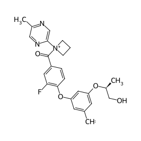 [CH]c1cc(Oc2ccc(C(=O)[N+]3(c4cnc(C)cn4)CCC3)cc2F)cc(O[C@@H](C)CO)c1